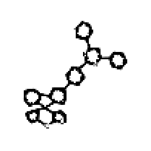 c1ccc(-c2cc(-c3ccccc3)nc(-c3ccc(-c4ccc5c(c4)-c4ccccc4C54c5ccccc5Oc5ccccc54)cc3)n2)cc1